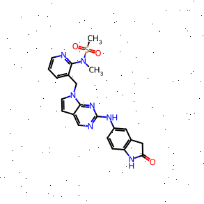 CN(c1ncccc1Cn1ccc2cnc(Nc3ccc4c(c3)CC(=O)N4)nc21)S(C)(=O)=O